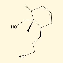 C[C@@H]1CC=C[C@@H](CCCO)[C@]1(C)CO